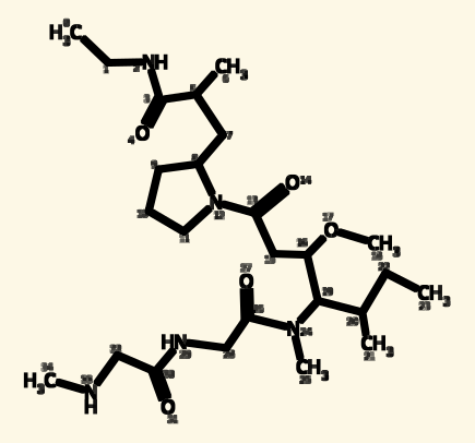 CCNC(=O)C(C)CC1CCCN1C(=O)CC(OC)C(C(C)CC)N(C)C(=O)CNC(=O)CNC